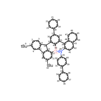 CC(C)(C)c1ccc2c(c1)-c1cc(C(C)(C)C)cc3c1C2c1cc(-c2ccccc2)cc(-c2c(Nc4ccc(-c5ccccc5)cc4)ccc4ccccc24)c1B3